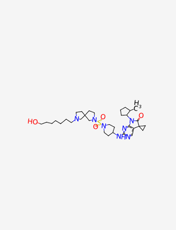 CC1CCCC1N1C(=O)C2(CC2)c2cnc(NC3CCN(S(=O)(=O)N4CCC5(CCN(CCCCCCCO)C5)C4)CC3)nc21